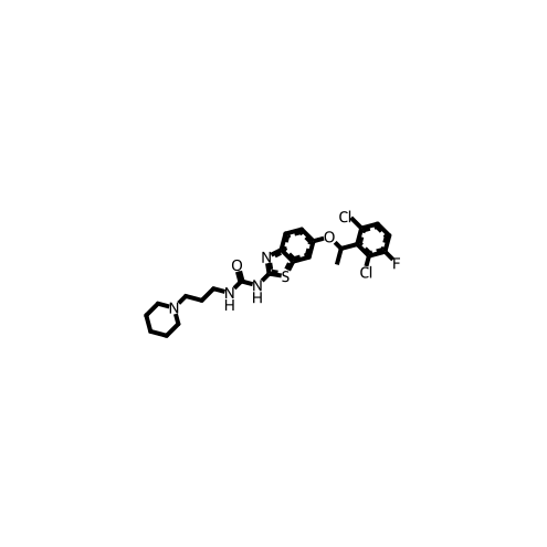 CC(Oc1ccc2nc(NC(=O)NCCCN3CCCCC3)sc2c1)c1c(Cl)ccc(F)c1Cl